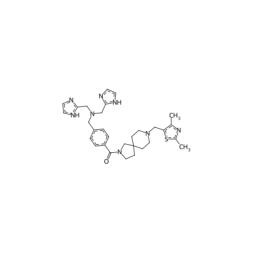 Cc1nc(C)c(CN2CCC3(CC2)CCN(C(=O)c2ccc(CN(Cc4ncc[nH]4)Cc4ncc[nH]4)cc2)C3)s1